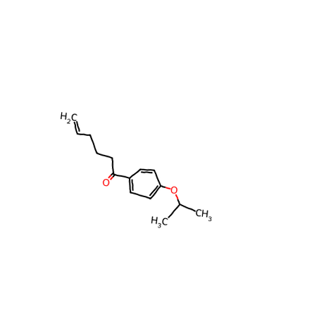 C=CCCCC(=O)c1ccc(OC(C)C)cc1